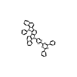 c1ccc(-c2nc(-c3ccccc3)nc(-c3ncc(-n4c5ccc6c7ccc8ccccc8c7n(-c7ccccc7)c6c5c5ccc6ccccc6c54)cn3)n2)cc1